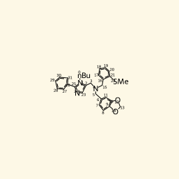 CCCCn1c(CN(Cc2ccc3c(c2)OCO3)Cc2ccccc2SC)cnc1-c1ccccc1